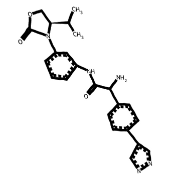 CC(C)[C@@H]1COC(=O)N1c1cccc(NC(=O)C(N)c2ccc(-c3cn[nH]c3)cc2)c1